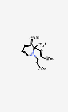 CCCCCCCCCCCCN1C=CC=C(C(=O)O)C1(CCCCCCCCCCCC)C(=O)O